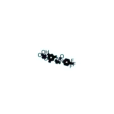 Cc1cc(CN2C(=O)N(c3ccc(C(F)(F)F)cc3)CC2(C)C)cc(C)c1OC(C)(C)C(=O)O